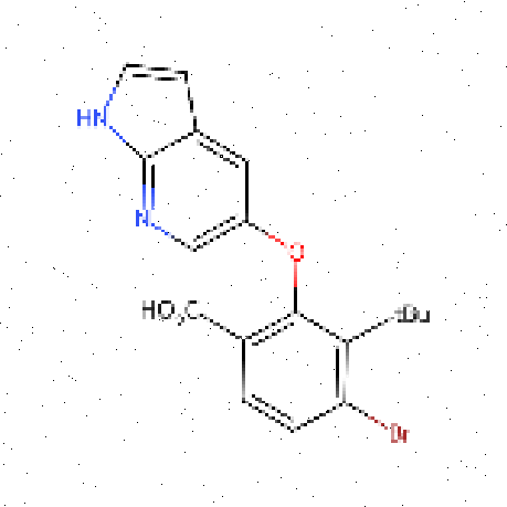 CC(C)(C)c1c(Br)ccc(C(=O)O)c1Oc1cnc2[nH]ccc2c1